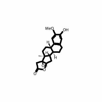 COc1cc2c(cc1O)CC[C@@H]1[C@@H]2CC[C@@]2(C)[C@H]1CC1OC(=O)C[C@@]12O